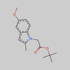 COc1ccc2c([c]c(C)n2CC(=O)OC(C)(C)C)c1